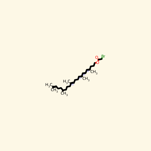 CC(C)=CCCC(C)CCC/C(C)=C/CC/C=C(C)/C=C/C=C(\C)CCCOC(=O)CBr